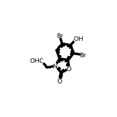 O=CCn1c(=O)oc2c(Br)c(O)c(Br)cc21